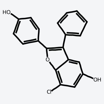 Oc1ccc(-c2oc3c(Cl)cc(O)cc3c2-c2ccccc2)cc1